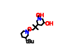 CC(C)(C)C1CCCN(OCC(C)(C)C2CC(O)CN(O)C2)C1